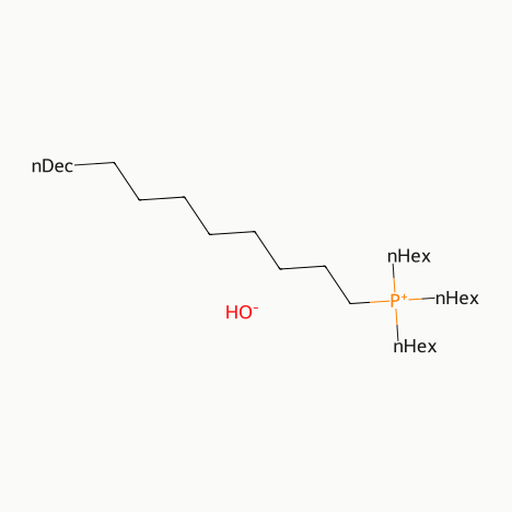 CCCCCCCCCCCCCCCCCC[P+](CCCCCC)(CCCCCC)CCCCCC.[OH-]